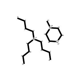 CCCCN(CCCC)CCCC.CN1CCOCC1